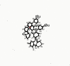 Cc1cc2c3c(c1)N(c1cccc4oc5ccccc5c14)c1cc(N4c5cc(C)cc(C)c5C5(C)CCCCC45C)ccc1B3c1ccc(C(C)(C)C)cc1N2c1ccc(C(C)(C)C)cc1-c1ccccc1